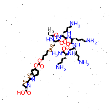 CC(=O)N[C@@H](CSSCCCCOC(=O)Oc1ccc2nc(C3=N[C@@H](C(=O)O)CS3)sc2c1)C(=O)N[C@H](CCCCN)C(=O)N[C@H](CCCCN)C(=O)N[C@H](CCCCN)C(=O)N[C@H](CCCCN)C(N)=O